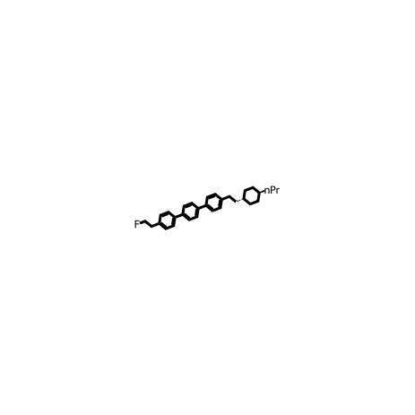 CCC[C@H]1CC[C@H](CCc2ccc(-c3ccc(-c4ccc(CCF)cc4)cc3)cc2)CC1